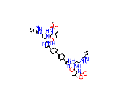 COC(=O)NC(C(=O)N1C[C@H](n2cc([Si](C)(C)C)nn2)C[C@H]1c1ncc(-c2ccc(-c3ccc(-c4cnc([C@@H]5C[C@@H](n6cc([Si](C)(C)C)nn6)CN5C(=O)[C@@H](NC(=O)OC)C(C)C)[nH]4)cc3)cc2)[nH]1)C(C)C